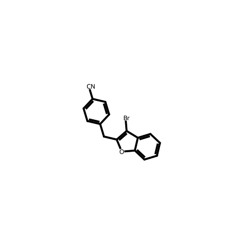 N#Cc1ccc(Cc2oc3ccccc3c2Br)cc1